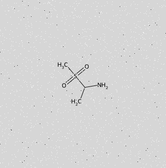 [CH2]C(N)S(C)(=O)=O